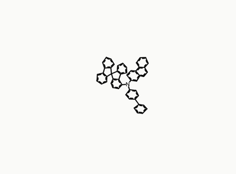 c1ccc(-c2ccc(N(c3ccc4c(ccc5ccccc54)c3)c3cccc4c3-c3ccccc3C43c4ccccc4-c4ccccc43)cc2)cc1